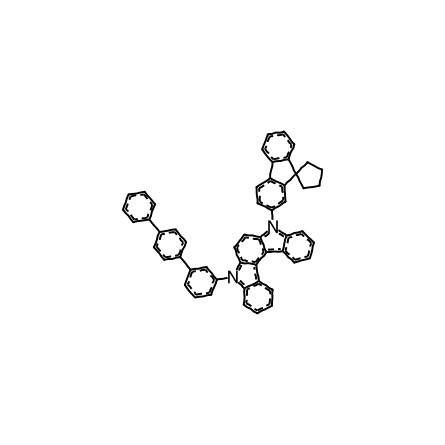 c1ccc(-c2ccc(-c3cccc(-n4c5ccccc5c5c6c7ccccc7n(-c7ccc8c(c7)C7(CCCC7)c7ccccc7-8)c6ccc54)c3)cc2)cc1